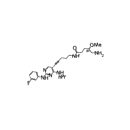 CCCNc1nc(Nc2cccc(F)c2)ncc1C#CCCCNC(=O)CC[C@H](CN)OC